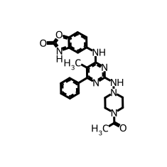 CC(=O)N1CCN(Nc2nc(Nc3ccc4oc(=O)[nH]c4c3)c(C)c(-c3ccccc3)n2)CC1